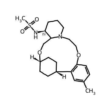 Cc1ccc2c(c1)[C@H]1CC[C@H](CC1)OCC1[C@@H](NS(C)(=O)=O)CCCN1CCO2